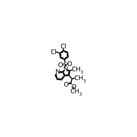 COC(=O)C(C)c1c(C)n(S(=O)(=O)c2ccc(Cl)c(Cl)c2)c2ncccc12